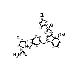 COc1cccc2c1c(NS(=O)(=O)c1ccc(Cl)s1)nn2Cc1cccc(CN2C[C@@H](F)C[C@H]2C(N)=O)c1